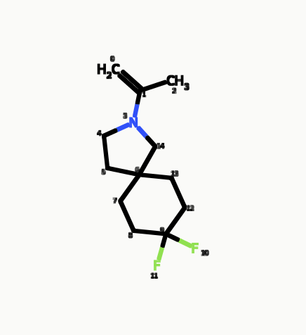 C=C(C)N1CCC2(CCC(F)(F)CC2)C1